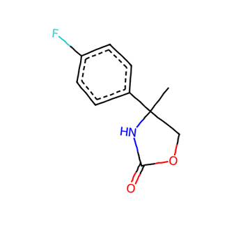 CC1(c2ccc(F)cc2)COC(=O)N1